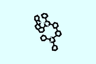 c1ccc(-c2cc(-c3cccc(-c4cccc(-c5cc(-c6ccccc6)nc(-c6cccc7ccc8c9ccccc9sc8c67)n5)c4)c3)nc(-c3ccccc3)n2)cc1